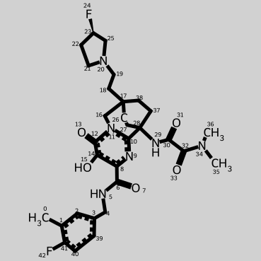 Cc1cc(CNC(=O)c2nc3n(c(=O)c2O)CC2(CCN4CC[C@@H](F)C4)CCC3(NC(=O)C(=O)N(C)C)CC2)ccc1F